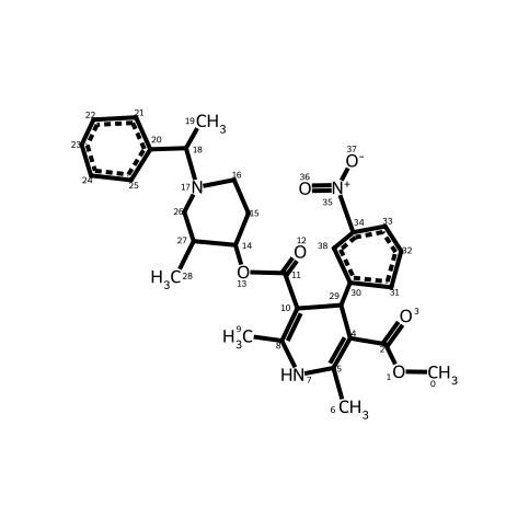 COC(=O)C1=C(C)NC(C)=C(C(=O)OC2CCN(C(C)c3ccccc3)CC2C)C1c1cccc([N+](=O)[O-])c1